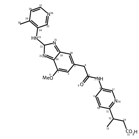 COc1cc(CC(=O)Nc2ccc(C(C)CC(=O)O)nc2)cc2c1=NC(Nc1cnccc1C)N=2